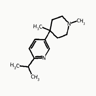 CC(C)c1ccc(C2(C)CCN(C)CC2)cn1